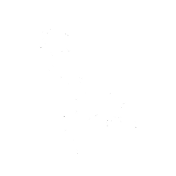 CC(NC(=O)C(C)(C)Oc1cccnc1)C(Cc1ccc(Cl)cc1)c1ccc(Cl)cc1